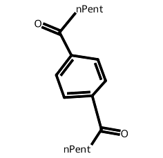 CCCCCC(=O)c1ccc(C(=O)CCCCC)cc1